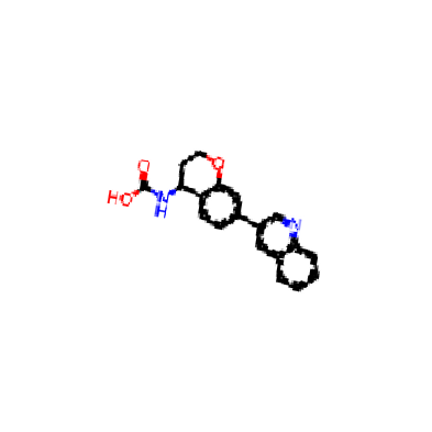 O=C(O)NC1CCOc2cc(-c3cnc4ccccc4c3)ccc21